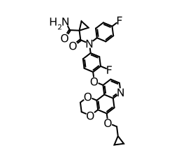 NC(=O)C1(C(=O)N(c2ccc(F)cc2)c2ccc(Oc3ccnc4cc(OCC5CC5)c5c(c34)OCCO5)c(F)c2)CC1